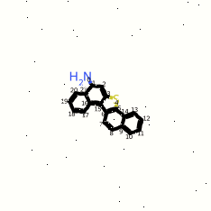 NC1C=c2sc3c(ccc4ccccc43)c2=C2C=CC=CC21